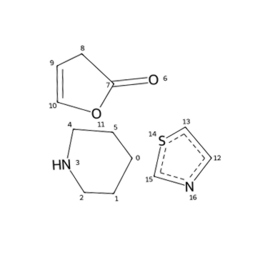 C1CCNCC1.O=C1CC=CO1.c1cscn1